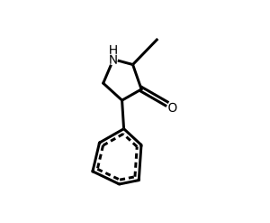 CC1NCC(c2ccccc2)C1=O